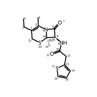 CCC1=C(C)N2C(=O)[C@@H](NC(=O)Cc3cccs3)[C@@]2(C)SC1